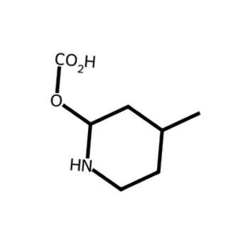 CC1CCNC(OC(=O)O)C1